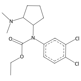 CCOC(=O)N(c1ccc(Cl)c(Cl)c1)C1CCCC1N(C)C